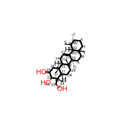 C[C@H]1[C@H](C)CC[C@]2(C)CC[C@]3(C)C(=CC[C@@H]4[C@@]5(C)CC(O)C(O)[C@@](C)(CO)[C@@H]5CC[C@]43C)[C@H]12